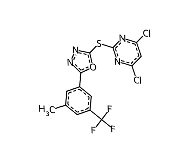 Cc1cc(-c2nnc(Sc3nc(Cl)cc(Cl)n3)o2)cc(C(F)(F)F)c1